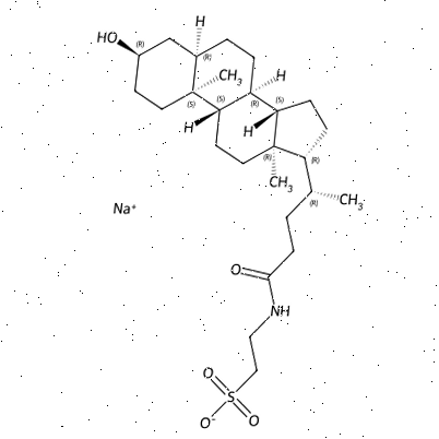 C[C@H](CCC(=O)NCCS(=O)(=O)[O-])[C@H]1CC[C@H]2[C@@H]3CC[C@@H]4C[C@H](O)CC[C@]4(C)[C@H]3CC[C@]12C.[Na+]